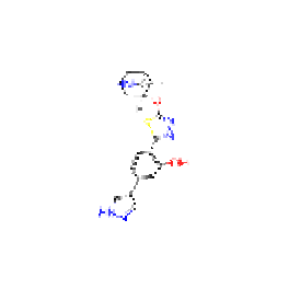 C[C@]12CCC(C[C@@H]1Oc1nnc(-c3ccc(-c4cn[nH]c4)cc3O)s1)NC2